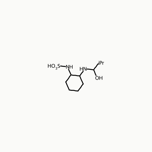 CC(C)C(O)NC1CCCCC1NS(=O)(=O)O